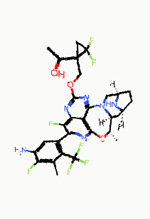 Cc1c(F)c(N)cc(-c2nc3c4c(nc(OCC5(C(C)O)CC5(F)F)nc4c2F)N2C[C@H]4CC[C@H](N4)[C@H]2[C@H](C)O3)c1C(F)(F)F